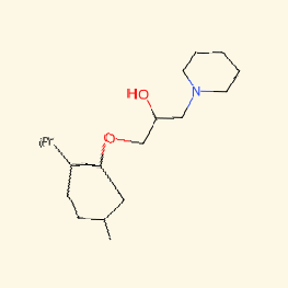 CC1CCC(C(C)C)C(OCC(O)CN2CCCCC2)C1